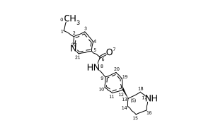 CCc1ccc(C(=O)Nc2ccc([C@@H]3CCCNC3)cc2)cn1